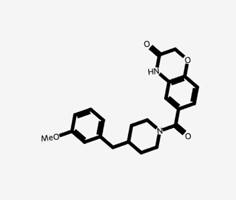 COc1cccc(CC2CCN(C(=O)c3ccc4c(c3)NC(=O)CO4)CC2)c1